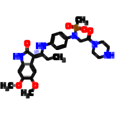 CC/C(Nc1ccc(N(CC(=O)N2CCNCC2)S(C)(=O)=O)cc1)=C1/C(=O)Nc2cc(OC)c(OC)cc21